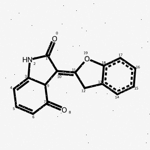 O=C1NC2=CC=CC(=O)C2C1=C1Cc2ccccc2O1